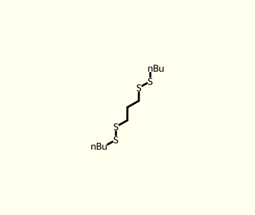 CCCCSSCCCSSCCCC